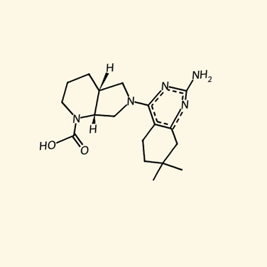 CC1(C)CCc2c(nc(N)nc2N2C[C@H]3CCCN(C(=O)O)[C@H]3C2)C1